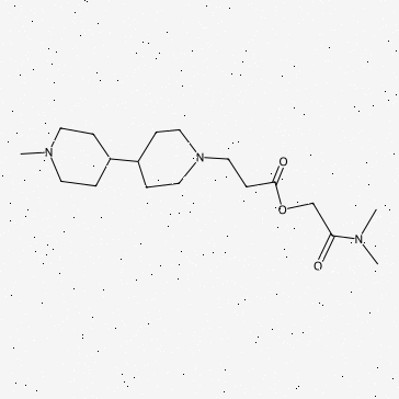 CN1CCC(C2CCN(CCC(=O)OCC(=O)N(C)C)CC2)CC1